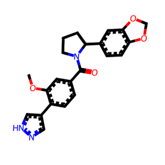 COc1cc(C(=O)N2CCCC2c2ccc3c(c2)OCO3)ccc1-c1cn[nH]c1